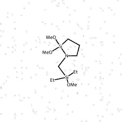 CC[Si](CC)(CN1CCC[Si]1(OC)OC)OC